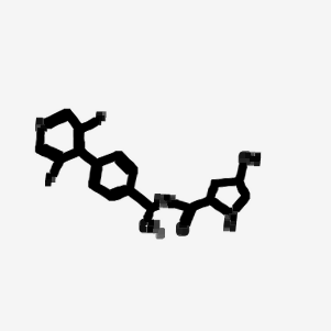 C[C@H](NC(=O)C1CC(O)CN1)c1ccc(-c2c(F)cncc2F)cc1